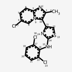 Cc1nc2ccc(Cl)cn2c1-c1csc(Nc2c(Cl)cccc2Cl)n1